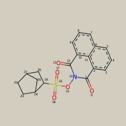 O=C1c2cccc3cccc(c23)C(=O)N1OS(=O)(=O)C1CC2CCC1C2